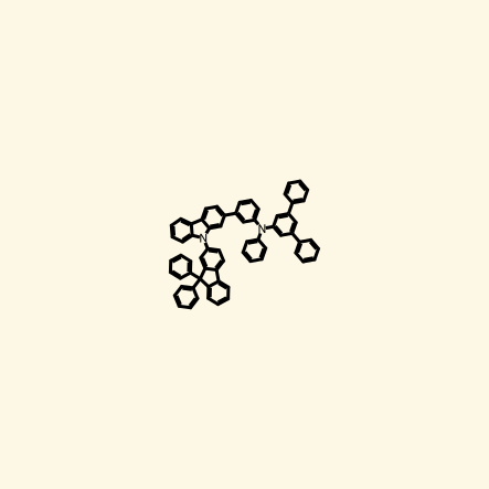 c1ccc(-c2cc(-c3ccccc3)cc(N(c3ccccc3)c3cccc(-c4ccc5c6ccccc6n(-c6ccc7c(c6)C(c6ccccc6)(c6ccccc6)c6ccccc6-7)c5c4)c3)c2)cc1